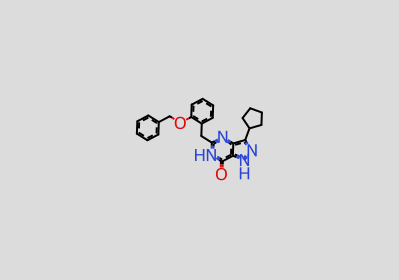 O=c1[nH]c(Cc2ccccc2OCc2ccccc2)nc2c(C3CCCC3)n[nH]c12